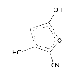 N#Cc1oc(O)cc1O